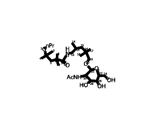 CCCOC(C)(C)CC(C)(C)C(=O)NCC(C)CC(C)(C)COC1OC(CO)C(O)C(O)C1NC(C)=O